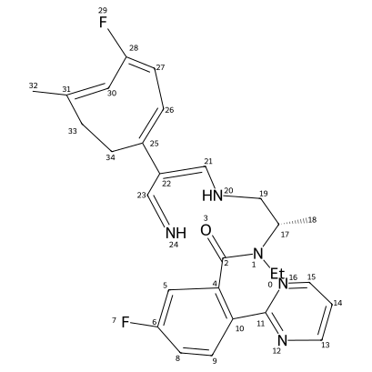 CCN(C(=O)c1cc(F)ccc1-c1ncccn1)[C@@H](C)CN/C=C(C=N)/C1=C/C=C(F)\C=C(/C)CC1